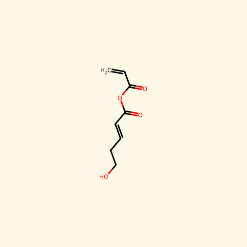 C=CC(=O)OC(=O)C=CCCO